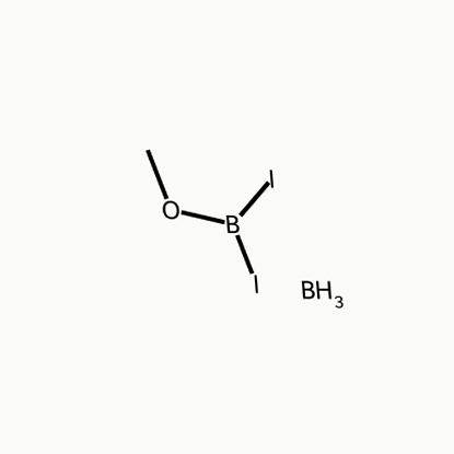 B.COB(I)I